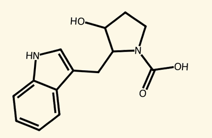 O=C(O)N1CCC(O)C1Cc1c[nH]c2ccccc12